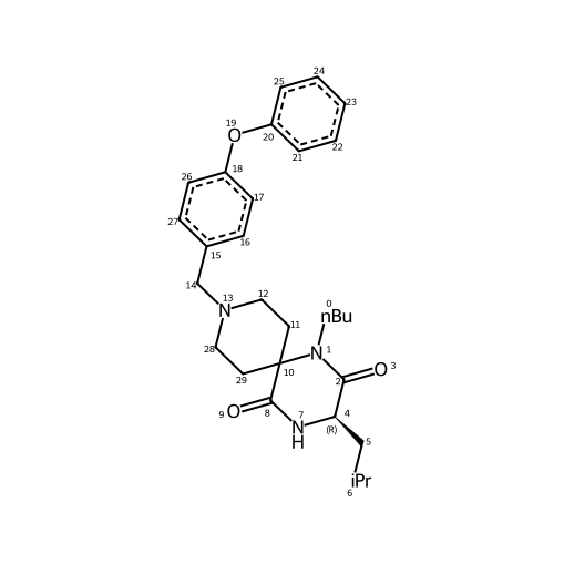 CCCCN1C(=O)[C@@H](CC(C)C)NC(=O)C12CCN(Cc1ccc(Oc3ccccc3)cc1)CC2